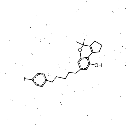 CC1(C)Oc2cc(CCCCCc3ccc(F)cc3)cc(O)c2C2=C1CCC2